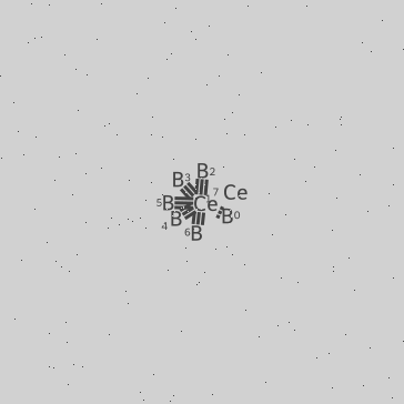 [B]#[Ce](#[B])(#[B])(#[B])(#[B])#[B].[Ce]